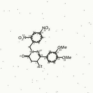 CCC1CC(=O)N(Cc2ccc([N+](=O)[O-])cc2[N+](=O)[O-])N=C1c1ccc(OC)c(OC)c1